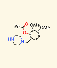 COc1ccc(CN2CCNCC2)c(OC(=O)C(C)C)c1OC